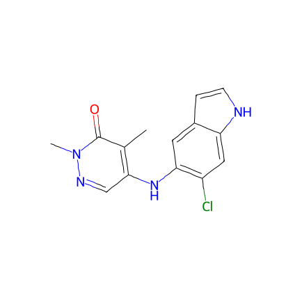 Cc1c(Nc2cc3cc[nH]c3cc2Cl)cnn(C)c1=O